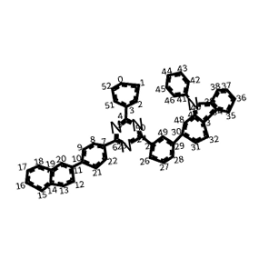 c1ccc(-c2nc(-c3ccc(-c4ccc5ccccc5c4)cc3)nc(-c3cccc(-c4ccc5c6ccccc6n(-c6ccccc6)c5c4)c3)n2)cc1